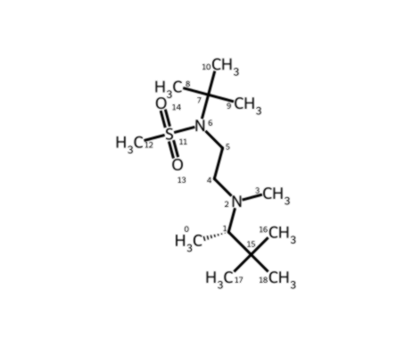 C[C@H](N(C)CCN(C(C)(C)C)S(C)(=O)=O)C(C)(C)C